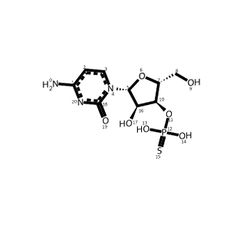 Nc1ccn([C@@H]2O[C@H](CO)[C@@H](OP(O)(O)=S)[C@H]2O)c(=O)n1